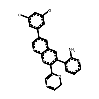 Nc1ncccc1-c1cc2cc(-c3cc(Cl)cc(Cl)c3)cnc2nc1C1=CN=CCO1